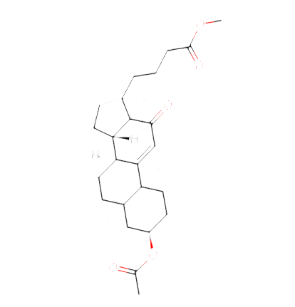 COC(=O)CC[C@@H](C)[C@H]1CC[C@H]2[C@@H]3CC[C@]4(C)C[C@H](OC(C)=O)CC[C@]4(C)C3=CC(=O)[C@]12C